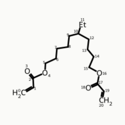 C=CC(=O)OCCCCCC(CC)CCCCOC(=O)C=C